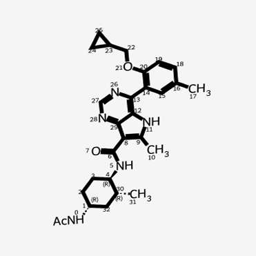 CC(=O)N[C@@H]1CC[C@@H](NC(=O)c2c(C)[nH]c3c(-c4cc(C)ccc4OCC4CC4)ncnc23)[C@H](C)C1